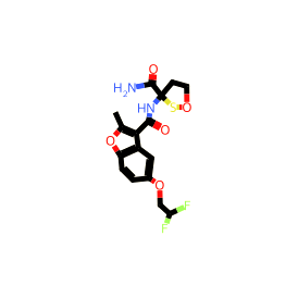 Cc1oc2ccc(OCC(F)F)cc2c1C(=O)NC1(C(N)=O)CCOS1